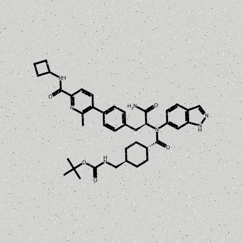 Cc1nc(C(=O)NC2CCC2)ccc1-c1ccc(C[C@@H](C(N)=O)N(c2ccc3cn[nH]c3c2)C(=O)[C@H]2CC[C@H](CNC(=O)OC(C)(C)C)CC2)cc1